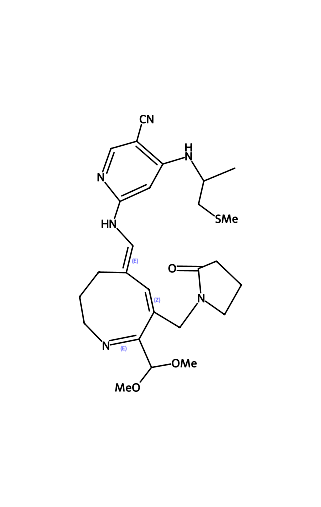 COC(OC)C1=N/CCCC(=C\Nc2cc(NC(C)CSC)c(C#N)cn2)/C=C\1CN1CCCC1=O